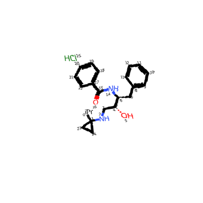 CC(C)C1(NC[C@@H](O)[C@H](Cc2ccccc2)NC(=O)c2ccccc2)CC1.Cl